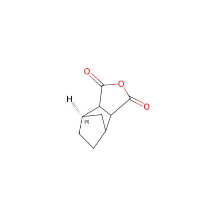 O=C1OC(=O)C2C1C1CC[C@@H]2C1